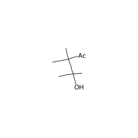 CC(=O)C(C)(C)C(C)(C)O